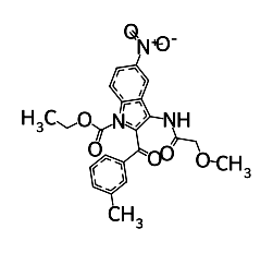 CCOC(=O)n1c(C(=O)c2cccc(C)c2)c(NC(=O)COC)c2cc([N+](=O)[O-])ccc21